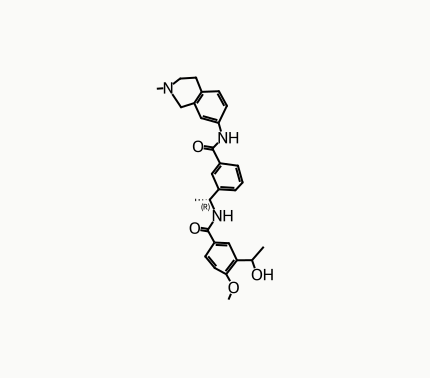 COc1ccc(C(=O)N[C@H](C)c2cccc(C(=O)Nc3ccc4c(c3)CN(C)CC4)c2)cc1C(C)O